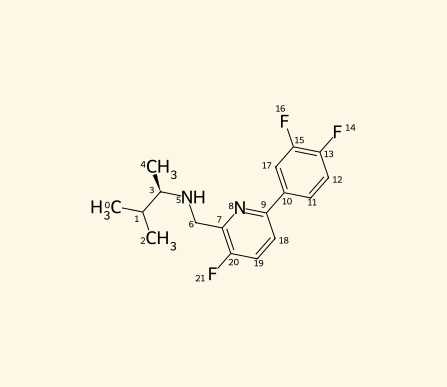 CC(C)[C@@H](C)NCc1nc(-c2ccc(F)c(F)c2)ccc1F